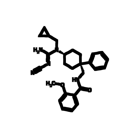 COc1ccccc1C(=O)NC[C@]1(c2ccccc2)CC[C@H](N(CC2CC2)C(N)=NC#N)CC1